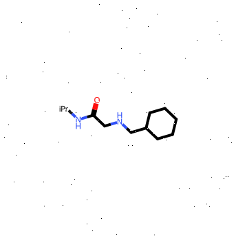 CC(C)NC(=O)CNCC1CCCCC1